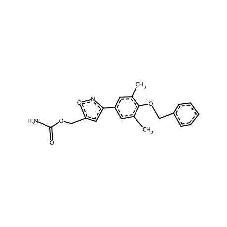 Cc1cc(-c2cc(COC(N)=O)on2)cc(C)c1OCc1ccccc1